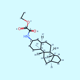 CCOC(=O)C(=O)N[C@@H]1CC[C@@]2(C)[C@H](CC[C@H]3[C@@H]4CCC[C@@]4(C)CC[C@@H]32)C1